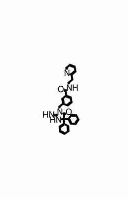 N=C1NC(c2ccccc2)(c2ccccc2)C(=O)N1Cc1cccc(C(=O)NCCc2ccccn2)c1